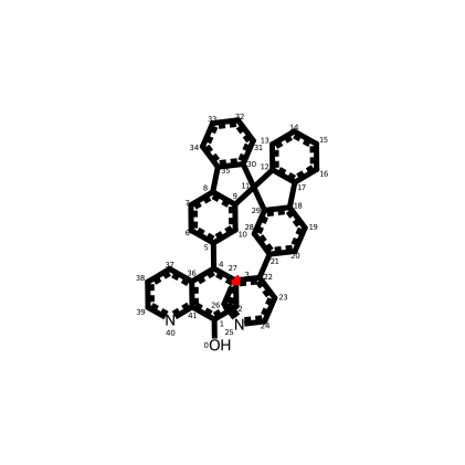 Oc1ccc(-c2ccc3c(c2)C2(c4ccccc4-c4ccc(-c5ccncn5)cc42)c2ccccc2-3)c2cccnc12